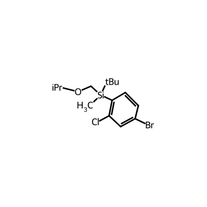 CC(C)OC[Si](C)(c1ccc(Br)cc1Cl)C(C)(C)C